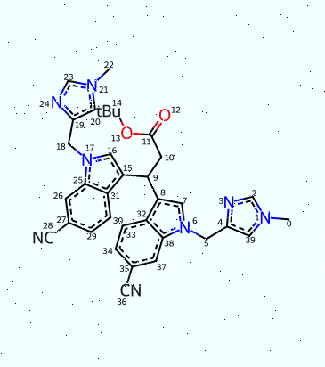 Cn1cnc(Cn2cc(C(CC(=O)OC(C)(C)C)c3cn(Cc4cn(C)cn4)c4cc(C#N)ccc34)c3ccc(C#N)cc32)c1